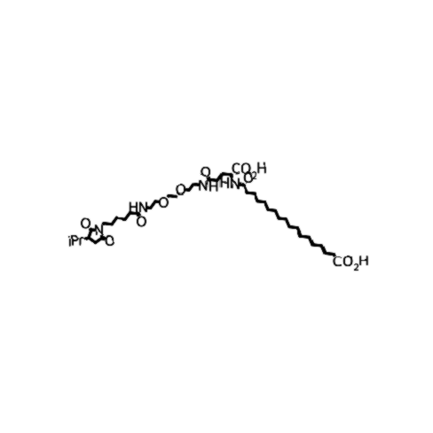 CC(C)C1CC(=O)N(CCCCCC(=O)NCCOCCOCCNC(=O)CCC(NC(=O)CCCCCCCCCCCCCCCCC(=O)O)C(=O)O)C1=O